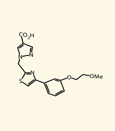 COCCOc1cccc(-c2csc(Cn3cc(C(=O)O)cn3)n2)c1